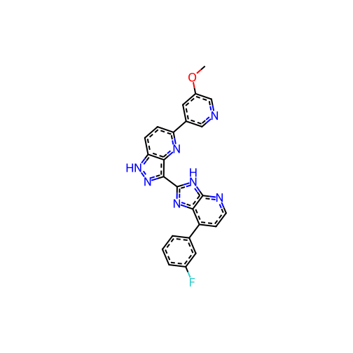 COc1cncc(-c2ccc3[nH]nc(-c4nc5c(-c6cccc(F)c6)ccnc5[nH]4)c3n2)c1